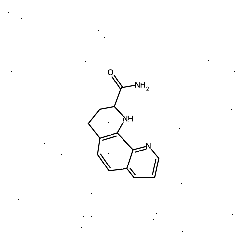 NC(=O)C1CCc2ccc3cccnc3c2N1